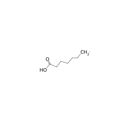 [CH2]CCCCCC(=O)O